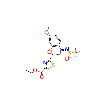 CCOC(=O)c1csc([C@H]2CC(=N[S@@+]([O-])C(C)(C)C)c3ccc(OC)cc3O2)n1